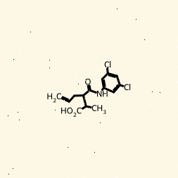 C=CCC(C(=O)Nc1cc(Cl)cc(Cl)c1)C(C)C(=O)O